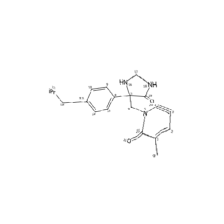 Cc1cc#cn(CC2(c3ccc(CC(C)C)cc3)NCNC2=O)c1=O